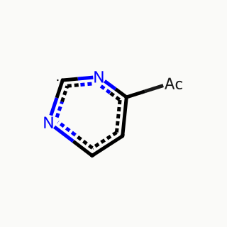 CC(=O)c1ccn[c]n1